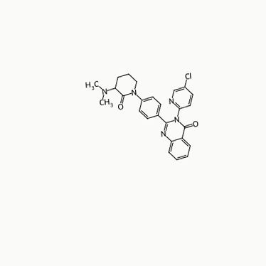 CN(C)C1CCCN(c2ccc(-c3nc4ccccc4c(=O)n3-c3ccc(Cl)cn3)cc2)C1=O